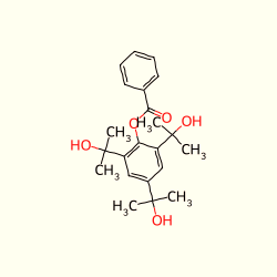 CC(C)(O)c1cc(C(C)(C)O)c(OC(=O)c2ccccc2)c(C(C)(C)O)c1